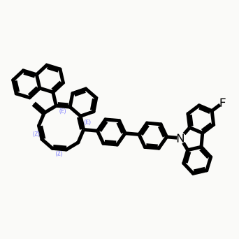 C=C1/C=C\C=C/C/C(c2ccc(-c3ccc(-n4c5ccccc5c5cc(F)ccc54)cc3)cc2)=c2/cccc/c2=C/1c1cccc2ccccc12